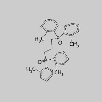 Cc1ccccc1P(=O)(CCCP(=O)(c1ccccc1C)c1ccccc1C)c1ccccc1C